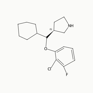 Fc1cccc(OC(C2CCCCC2)[C@H]2CCNC2)c1Cl